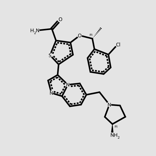 C[C@@H](Oc1cc(-c2cnc3ccc(CN4CC[C@@H](N)C4)cn23)sc1C(N)=O)c1ccccc1Cl